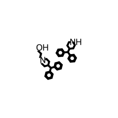 OCCCN1CCC(C(c2ccccc2)c2ccccc2)CC1.c1ccc(C(c2ccccc2)C2CCNCC2)cc1